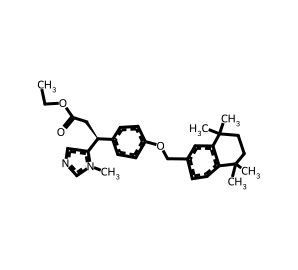 CCOC(=O)C[C@@H](c1ccc(OCc2ccc3c(c2)C(C)(C)CCC3(C)C)cc1)c1cncn1C